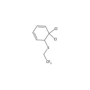 FC(F)(F)CSC1C=CC=CC1(Cl)Cl